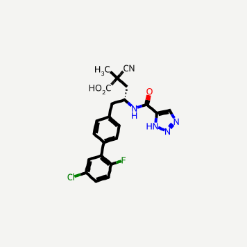 CC(C#N)(C[C@@H](Cc1ccc(-c2cc(Cl)ccc2F)cc1)NC(=O)c1cnn[nH]1)C(=O)O